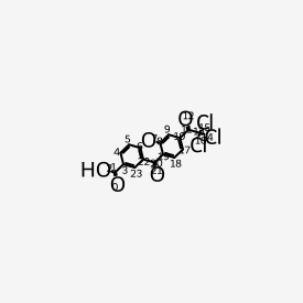 O=C(O)c1ccc2oc3cc(C(=O)C(Cl)(Cl)Cl)ccc3c(=O)c2c1